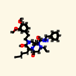 CCCC[C@H]1C(=O)N(CCc2ccc(OC)c(OC)c2)C[C@H]2N1C(=O)CN(CC)N2C(=O)NCc1ccccc1